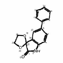 O=C1Nc2ccc(-c3ccccc3)cc2C12OCCO2